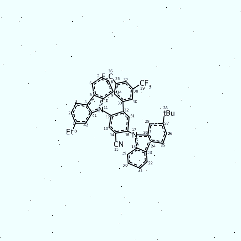 CCc1ccc2c3ccccc3n(-c3cc(C#N)c(-n4c5ccccc5c5ccc(C(C)(C)C)cc54)cc3-c3cc(C(F)(F)F)cc(C(F)(F)F)c3)c2c1